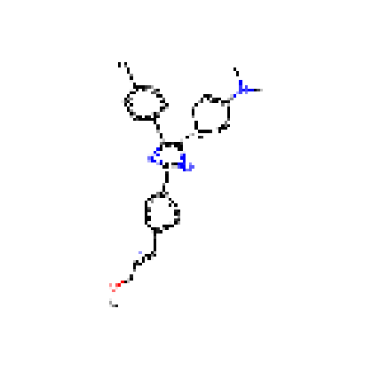 CCOC/C=C/c1ccc(-c2nc(-c3ccc(CC)cc3)c([C@H]3C=CC(N(C)C)=CC3)[nH]2)cc1